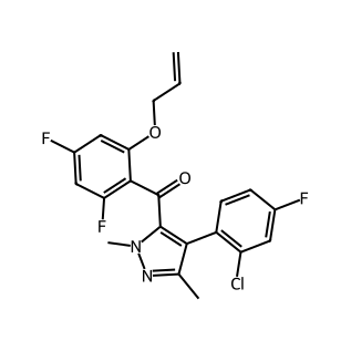 C=CCOc1cc(F)cc(F)c1C(=O)c1c(-c2ccc(F)cc2Cl)c(C)nn1C